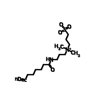 CCCCCCCCCCCCCCCC(=O)NCCC[N+](C)(C)CCCS(=O)(=O)[O-]